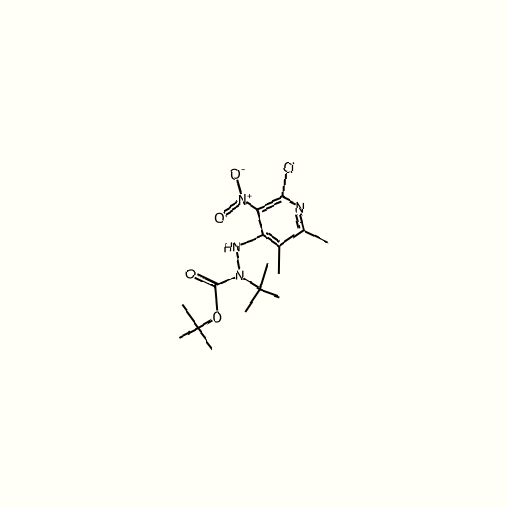 Cc1nc(Cl)c([N+](=O)[O-])c(NN(C(=O)OC(C)(C)C)C(C)(C)C)c1C